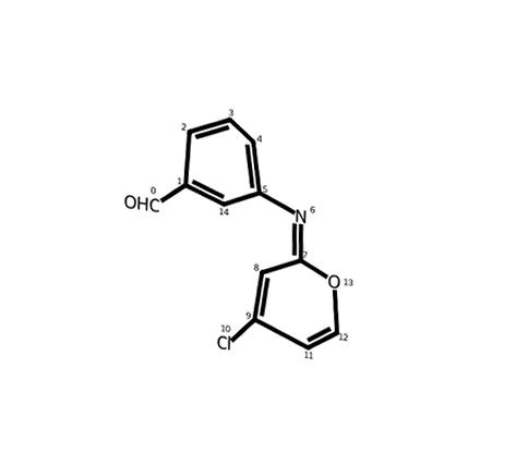 O=Cc1cccc(N=c2cc(Cl)cco2)c1